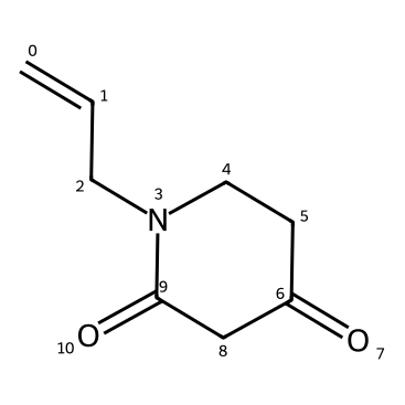 C=CCN1CCC(=O)CC1=O